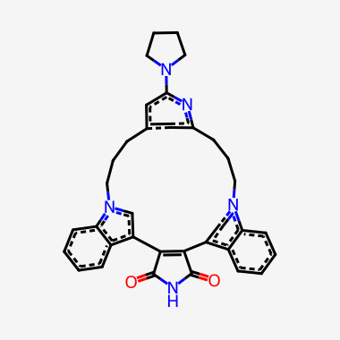 O=C1NC(=O)C2=C1c1cn(c3ccccc13)CCCc1cc(nc(N3CCCC3)c1)CCCn1cc2c2ccccc21